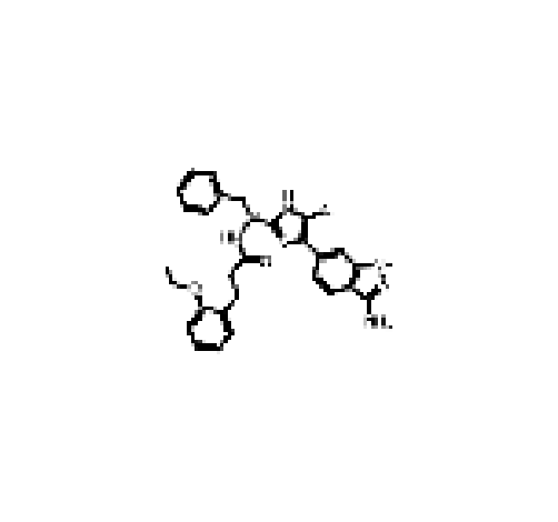 Nc1n[nH]c2cc(-c3nc([C@H](Cc4ccccc4)NC(=O)CCc4ccccc4OCI)[nH]c3Cl)ccc12